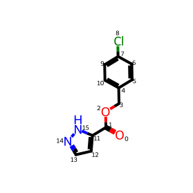 O=C(OCc1ccc(Cl)cc1)c1ccn[nH]1